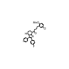 COc1ccc(Cl)cc1CCCC(=O)N1CCNn2c1nc(-c1ccc(F)cc1)c2-c1ccncc1